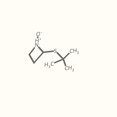 CC(C)(C)SC1CC[NH+]1[O-]